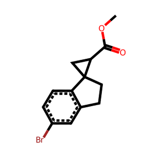 COC(=O)C1CC12CCc1cc(Br)ccc12